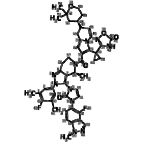 Cc1cc(-n2nc3c(c2-n2ccn(-c4ccc5c(cnn5C)c4F)c2=O)[C@H](C)N(C(=O)c2cc4n(c2C2(c5noc(=O)[nH]5)CC2)C=CC([C@@H]2CCOC(C)(C)C2)C4)CC3)cc(C)c1F